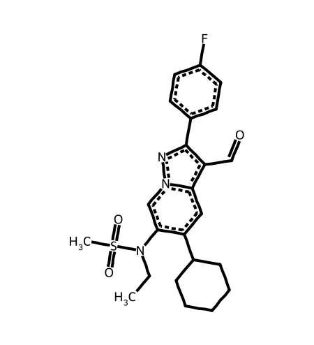 CCN(c1cn2nc(-c3ccc(F)cc3)c(C=O)c2cc1C1CCCCC1)S(C)(=O)=O